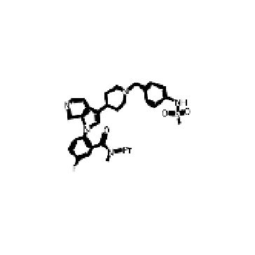 CC(C)N(C)C(=O)c1cc(F)ccc1-n1cc(C2CCN(Cc3ccc(NS(C)(=O)=O)cc3)CC2)c2ccncc21